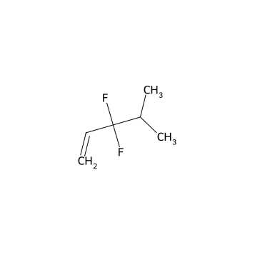 C=CC(F)(F)C(C)C